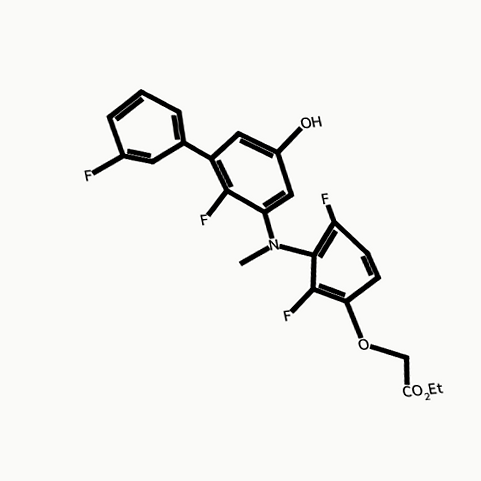 CCOC(=O)COc1ccc(F)c(N(C)c2cc(O)cc(-c3cccc(F)c3)c2F)c1F